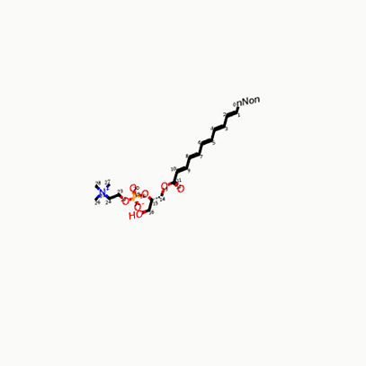 CCCCCCCCCC=CC=CC=CC=CC=CC(=O)OC[C@H](CO)OP(=O)([O-])OCC[N+](C)(C)C